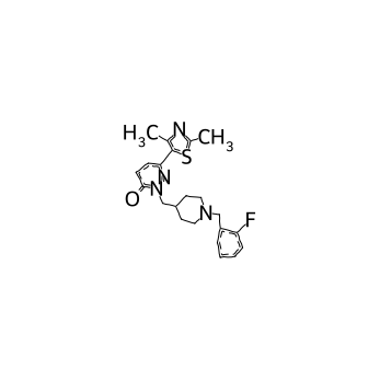 Cc1nc(C)c(-c2ccc(=O)n(CC3CCN(Cc4ccccc4F)CC3)n2)s1